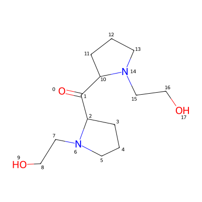 O=C(C1CCCN1CCO)C1CCCN1CCO